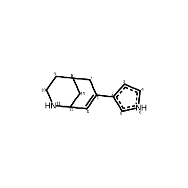 C1=C(c2cc[nH]c2)CC2CCNC1C2